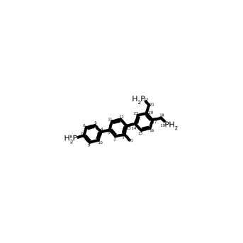 Cc1cc(-c2ccc(P)cc2)ccc1-c1ccc(CP)c(CP)c1